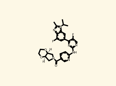 Cc1nc2c(F)cc(-c3nc(Nc4ccc(C(=O)N5C[C@@H]6OCCO[C@@H]6C5)cn4)ncc3F)cc2n1C(C)C